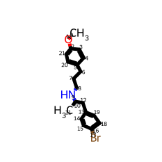 COc1ccc(CCCNC(C)Cc2ccc(Br)cc2)cc1